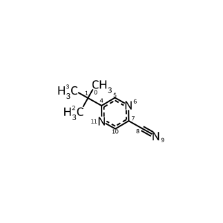 CC(C)(C)c1cnc(C#N)cn1